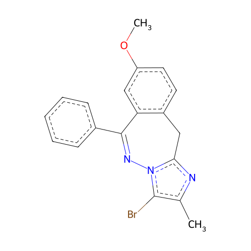 COc1ccc2c(c1)C(c1ccccc1)=Nn1c(nc(C)c1Br)C2